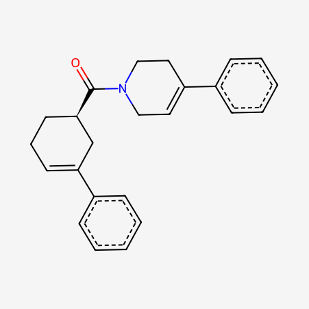 O=C([C@@H]1CCC=C(c2ccccc2)C1)N1CC=C(c2ccccc2)CC1